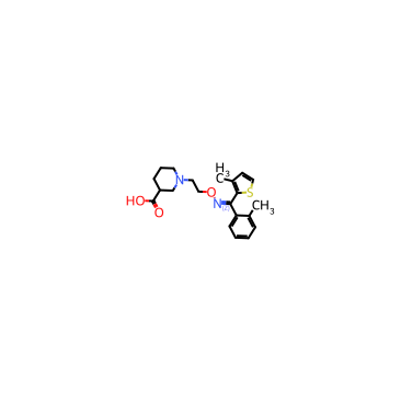 Cc1ccccc1/C(=N/OCCN1CCCC(C(=O)O)C1)c1sccc1C